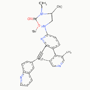 Cc1cncc(C)c1-c1ccc(NCC(C=O)N(C)C(=O)OC(C)(C)C)nc1C#Cc1ccc2ncccc2c1